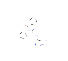 CC(Nc1ncnc2[nH]cnc12)c1nc2ccc(F)c(Cl)c2c(=O)n1-c1ccccc1Cl